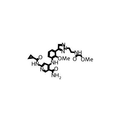 COCC(=O)NCCn1ncc(-c2cccc(Nc3cc(NC(=O)C4CC4)ncc3C(N)=O)c2OC)n1